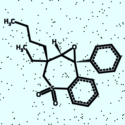 CCCC[C@]1(CC)CS(=O)(=O)c2ccccc2[C@]2(c3ccccc3)O[C@H]12